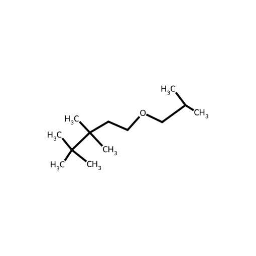 CC(C)COCCC(C)(C)C(C)(C)C